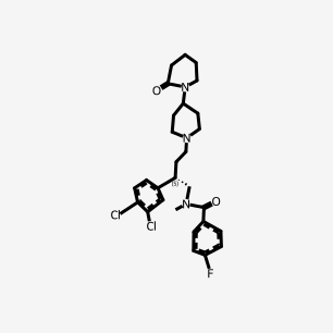 CN(C[C@@H](CCN1CCC(N2CCCCC2=O)CC1)c1ccc(Cl)c(Cl)c1)C(=O)c1ccc(F)cc1